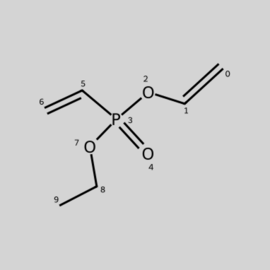 C=COP(=O)(C=C)OCC